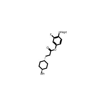 CCCCCCCc1ccc(OC(=O)CC[C@H]2CC[C@H](CCC)CC2)cc1F